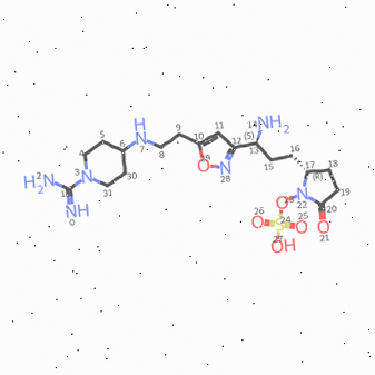 N=C(N)N1CCC(NCCc2cc([C@@H](N)CC[C@@H]3CCC(=O)N3OS(=O)(=O)O)no2)CC1